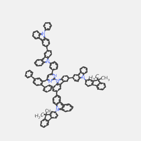 CC1(C)c2ccccc2-c2ccc(-n3c4ccccc4c4cc(-c5ccc6c(c5)c5cc(-c7ccc8c(c7)c7ccccc7n8-c7ccc8c(c7)C(C)(C)c7ccccc7-8)ccc5n6-c5nc(-c6cccc(-n7c8ccccc8c8cc(-c9ccc%10c(c9)c9ccccc9n%10-c9ccccc9)ccc87)c6)cc(-c6cc(-c7ccccc7)ccc6-c6ccccc6)n5)ccc43)cc21